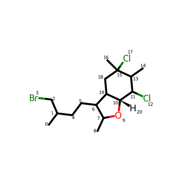 CC(CBr)CCC1C(C)O[C@H]2C(Cl)C(C)C(C)(Cl)CC12